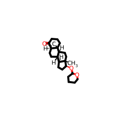 C[C@]12CCCC(=O)[C@@H]1CC[C@@H]1[C@@H]2CC[C@]2(C)[C@@H](OC3CCCCO3)CC[C@@H]12